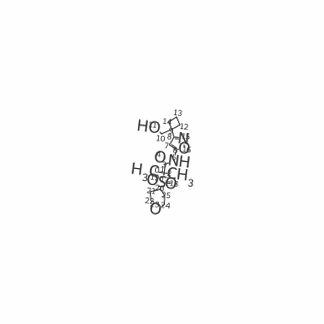 CC(C)(C(=O)Nc1cc(C2(CO)CCC2)no1)S(=O)(=O)C1CCOCC1